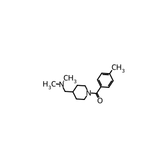 Cc1ccc(C(=O)N2CCC(CN(C)C)CC2)cc1